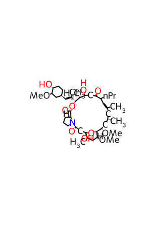 CCCC1/C=C(\C)C[C@H](C)C[C@H](OC)[C@H]2O[C@@](O)(CC(=O)N3CCC[C@H]3C(=O)O[C@H](/C(C)=C/[C@@H]3CC[C@@H](O)[C@H](OC)C3)[C@H](C)[C@@H](O)CC1=O)[C@H](C)C[C@@H]2OC